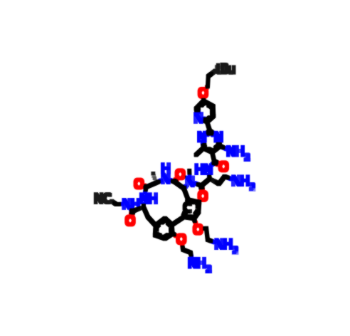 Cc1nc(-c2ccc(OCCC(C)(C)C)cn2)nc(N)c1C(=O)N[C@@H](CCN)C(=O)N(C)[C@@H]1C(=O)N[C@@H](C)C(=O)N[C@H](C(=O)NCC#N)Cc2ccc(OCCN)c(c2)-c2cc1ccc2OCCN